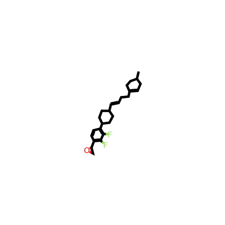 CC1CC=C(CC/C=C/C2CCC(c3ccc(C4CO4)c(F)c3F)CC2)CC1